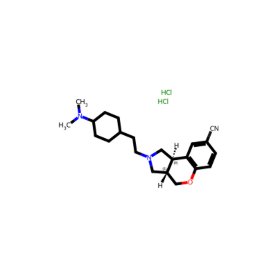 CN(C)C1CCC(CCN2C[C@H]3COc4ccc(C#N)cc4[C@@H]3C2)CC1.Cl.Cl